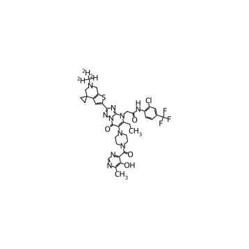 [2H]C([2H])([2H])N1Cc2sc(-c3nc4n(CC(=O)Nc5ccc(C(F)(F)F)cc5Cl)c(CC)c(N5CCN(C(=O)c6ncnc(C)c6O)CC5)c(=O)n4n3)cc2C2(CC2)C1